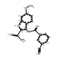 COc1ccc2c(NC(=O)c3cccc(C#N)c3)c(C(N)=O)oc2c1